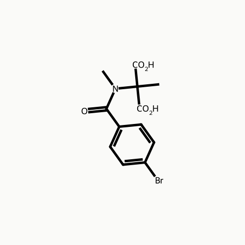 CN(C(=O)c1ccc(Br)cc1)C(C)(C(=O)O)C(=O)O